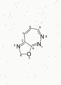 C1=CC2=NCOC2=NN=C1